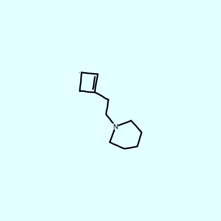 [CH]1C=C(CCN2CCCCC2)C1